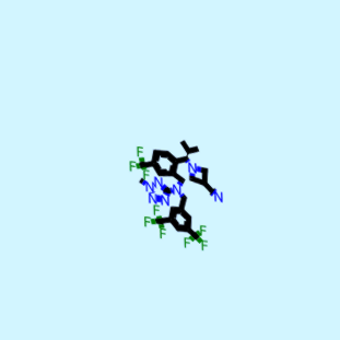 CC(C)[C@@H](c1ccc(C(F)(F)F)cc1CN(Cc1cc(C(F)(F)F)cc(C(F)(F)F)c1)c1nnn(C)n1)N1CC(C#N)C1